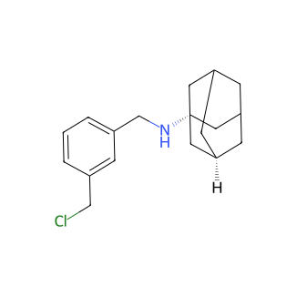 ClCc1cccc(CN[C@]23CC4CC(C[C@@H](C4)C2)C3)c1